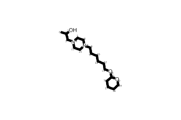 CC(O)CN1CCN(CCCCCCOC2CCCCO2)CC1